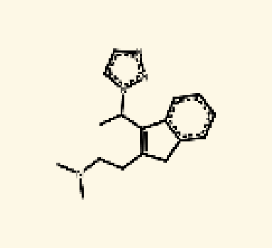 CC(C1=C(CCN(C)C)Cc2ccccc21)n1ccnn1